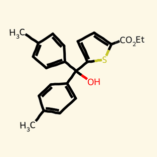 CCOC(=O)c1ccc(C(O)(c2ccc(C)cc2)c2ccc(C)cc2)s1